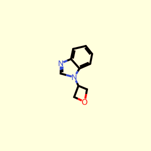 c1ccc2c(c1)ncn2C1COC1